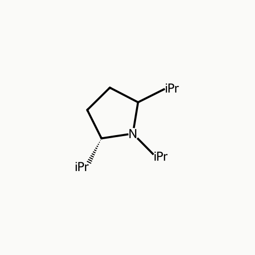 CC(C)C1CC[C@@H](C(C)C)N1C(C)C